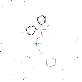 CC(C)(C)[Si](OCC(F)(F)CCO[C@@H]1CCCCO1)(c1ccccc1)c1ccccc1